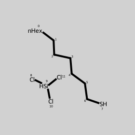 CCCCCCCCCCCCS.Cl[SiH](Cl)Cl